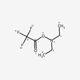 CCN(CC)OC(=O)C(F)(F)F